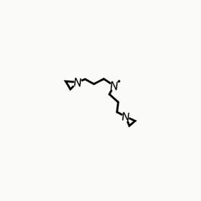 CN(CCCN1CC1)CCCN1CC1